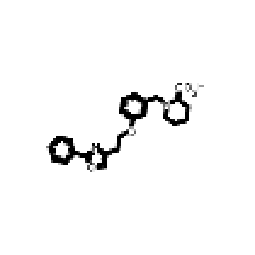 O=C(O)C1CCCCN1Cc1cccc(OCCc2coc(-c3ccccc3)n2)c1